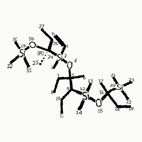 C=C[Si](C)(OC(C)(CC)C(CC)[Si](C)(C)OC(C)(CC)[Si](C)(C)C)[C@](C)(CC)O[Si](C)(C)C